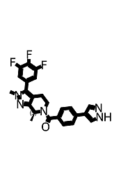 C[C@H]1c2nn(C)c(-c3cc(F)c(F)c(F)c3)c2CCN1C(=O)c1ccc(-c2cn[nH]c2)cc1